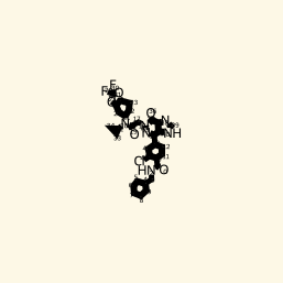 O=C(NCc1ccccc1)c1ccc(-c2nn(CC(=O)N(c3ccc4c(c3)OC(F)(F)O4)C3CC3)c(=O)c3nc[nH]c23)cc1Cl